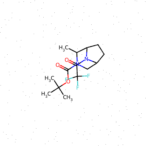 CC1C2CCC(CN1C(=O)OC(C)(C)C)N2C(=O)C(F)(F)F